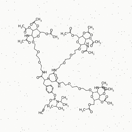 C#CCCOP(Oc1ccc(CC(C(=O)NCCOCCOCCOC2OC(COC(C)=O)C(OC(C)=O)C(OC(C)=O)C2NC(C)=O)N(CC(=O)NCCOCCOCCOC2OC(COC(C)=O)C(OC(C)=O)C(OC(C)=O)C2NC(C)=O)CC(=O)NCCOCCOCCOC2OC(COC(C)=O)C(OC(C)=O)C(OC(C)=O)C2NC(C)=O)cc1)N(C(C)C)C(C)C